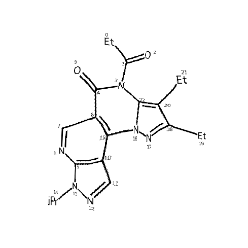 CCC(=O)n1c(=O)c2cnc3c(cnn3C(C)C)c2n2nc(CC)c(CC)c12